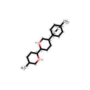 CC1CCC(C2CCC(C34CCC(C)(CC3)CC4)CO2)OC1